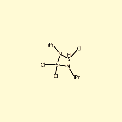 CC(C)N1[SH](Cl)N(C(C)C)S1(Cl)Cl